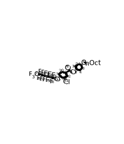 CCCCCCCCOc1ccc(OC(=O)c2ccc(OC(F)(F)C(F)(F)C(F)(F)C(F)(F)C(F)(F)C(F)(F)F)c(Cl)c2)cc1